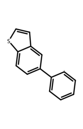 [c]1ccccc1-c1ccc2sccc2c1